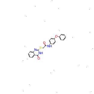 O=C(CSc1nc2ccccc2c(=O)[nH]1)Nc1ccc(Oc2ccccc2)cc1